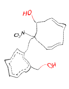 O=[N+]([O-])C1(c2ccccc2O)C=CC=CC1O